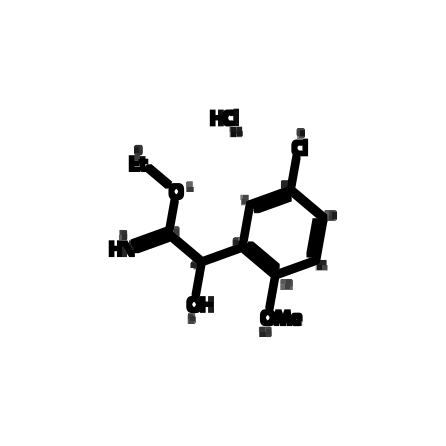 CCOC(=N)C(O)c1cc(Cl)ccc1OC.Cl